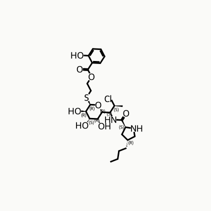 CCCC[C@H]1CN[C@H](C(=O)N[C@@H]([C@H]2O[C@H](SCCOC(=O)c3ccccc3O)[C@H](O)[C@@H](O)[C@H]2O)[C@H](C)Cl)C1